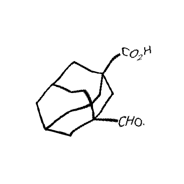 O=[C]C12CC3CC(C1)CC(C(=O)O)(C3)C2